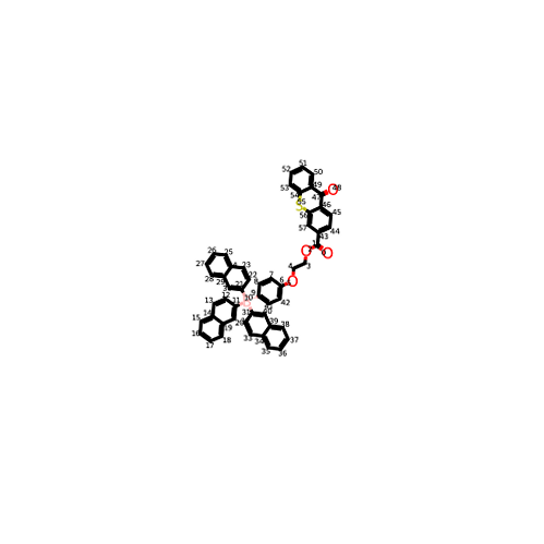 O=C(OCCOc1ccc([B-](c2ccc3ccccc3c2)(c2ccc3ccccc3c2)c2ccc3ccccc3c2)cc1)c1ccc2c(=O)c3ccccc3sc2c1